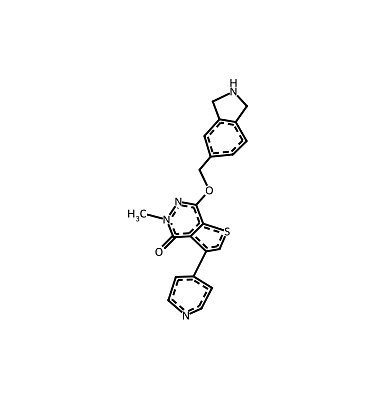 Cn1nc(OCc2ccc3c(c2)CNC3)c2scc(-c3ccncc3)c2c1=O